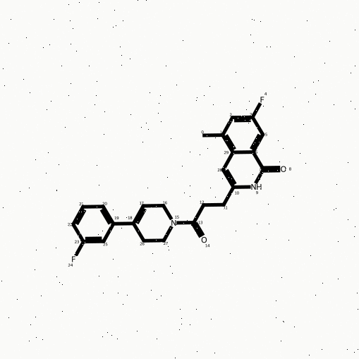 Cc1cc(F)cc2c(=O)[nH]c(CCC(=O)N3CC=C(c4cccc(F)c4)CC3)cc12